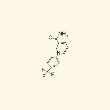 NC(=O)C1=CC=CN(c2ccc(C(F)(F)F)cc2)C1